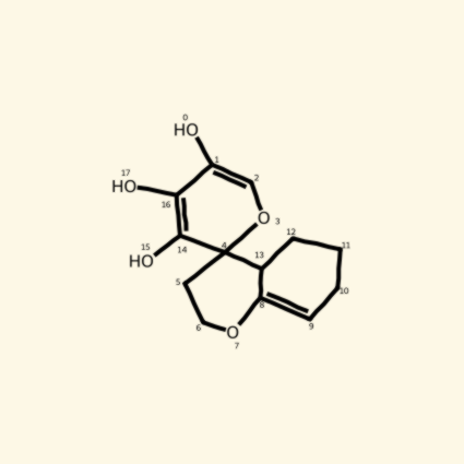 OC1=COC2(CCOC3=CCCCC32)C(O)=C1O